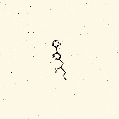 COCC(OC)Sc1cc(-c2csnn2)cs1